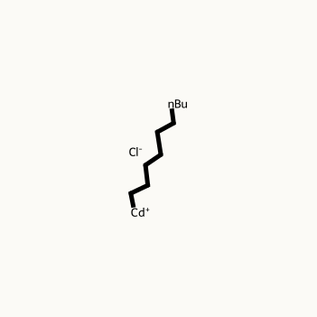 CCCCCCCCC[CH2][Cd+].[Cl-]